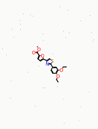 CCOc1ccc(-c2nc(-c3ccc(C(=O)OC)o3)cs2)cc1OCC